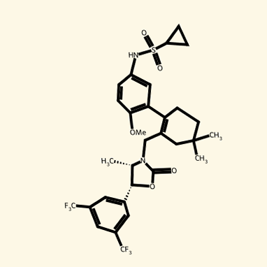 COc1ccc(NS(=O)(=O)C2CC2)cc1C1=C(CN2C(=O)O[C@H](c3cc(C(F)(F)F)cc(C(F)(F)F)c3)[C@@H]2C)CC(C)(C)CC1